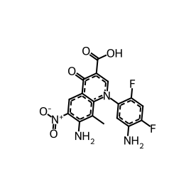 Cc1c(N)c([N+](=O)[O-])cc2c(=O)c(C(=O)O)cn(-c3cc(N)c(F)cc3F)c12